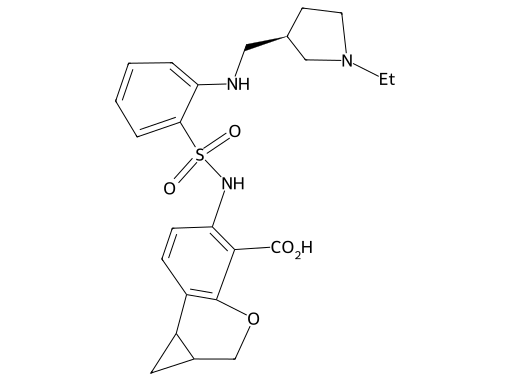 CCN1CC[C@H](CNc2ccccc2S(=O)(=O)Nc2ccc3c(c2C(=O)O)OCC2CC32)C1